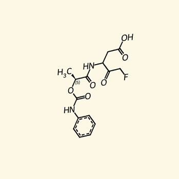 C[C@H](OC(=O)Nc1ccccc1)C(=O)NC(CC(=O)O)C(=O)CF